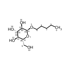 CCCCCO[C@H]1O[C@H](CO)[C@@H](O)[C@H](O)[C@H]1O